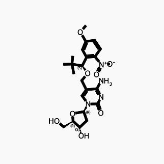 COc1ccc([N+](=O)[O-])c([C@@H](OCc2cn([C@H]3C[C@H](O)[C@@H](CO)O3)c(=O)nc2N)C(C)(C)C)c1